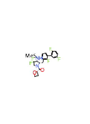 CSN[C@@H]1[C@H](Cc2cccc(-c3cc(F)ccc3F)c2F)N(C(=O)[C@@H]2CCO2)CC1(F)F